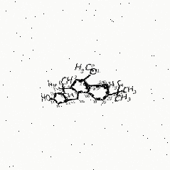 COc1cc(C(C)(C)C)c(Cc2ccc(O)cc2)c2ccc(C(C)(C)C)cc12